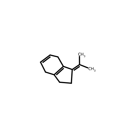 CC(C)=C1CCC2=C1CC=CC2